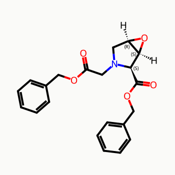 O=C(CN1C[C@H]2O[C@H]2[C@H]1C(=O)OCc1ccccc1)OCc1ccccc1